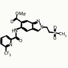 COC(=O)c1cc2nn(CCS(C)(=O)=O)cc2cc1NC(=O)c1cccc(C(F)(F)F)n1